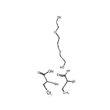 CCC(S)C(=O)O.CCC(S)C(=O)O.OCCOCCOCCO